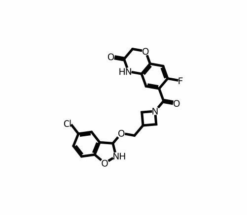 O=C1COc2cc(F)c(C(=O)N3CC(COC4NOc5ccc(Cl)cc54)C3)cc2N1